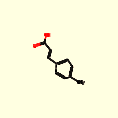 [CH2]c1ccc(/C=C/C(=O)O)cc1